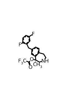 C[C@@]1(OC(=O)C(F)(F)F)CNCCc2ccc(Cc3cc(F)ccc3F)cc21